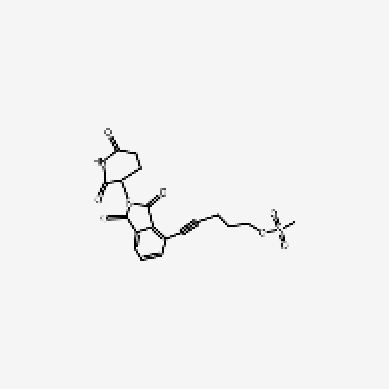 CS(=O)(=O)OCCCC#Cc1cccc2c1C(=O)N(C1CCC(=O)NC1=O)C2=O